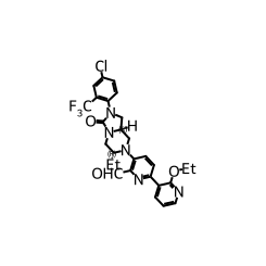 CCOc1ncccc1-c1ccc(N2C[C@H]3CN(c4ccc(Cl)cc4C(F)(F)F)C(=O)N3C[C@H]2CC)c(C=O)n1